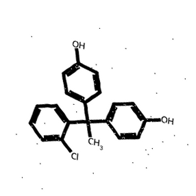 CC(c1ccc(O)cc1)(c1ccc(O)cc1)c1ccccc1Cl